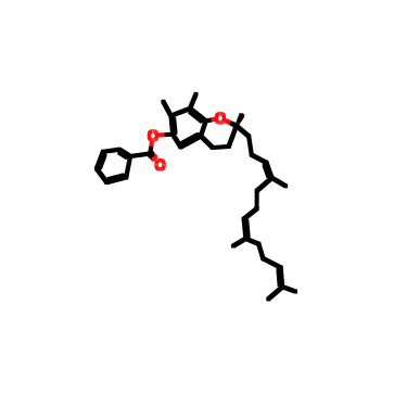 CC(C)=CCCC(C)=CCCC(C)=CCC[C@]1(C)CCc2cc(OC(=O)c3ccccc3)c(C)c(C)c2O1